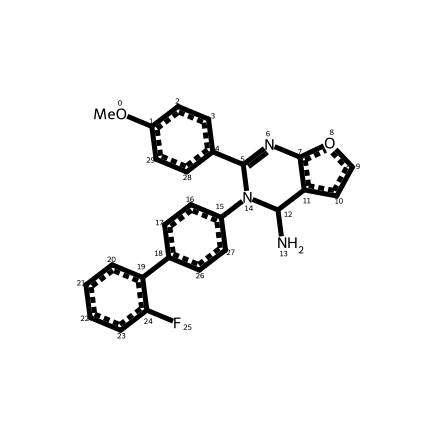 COc1ccc(C2=Nc3occc3C(N)N2c2ccc(-c3ccccc3F)cc2)cc1